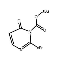 CCCc1nccc(=O)n1C(=O)OC(C)(C)C